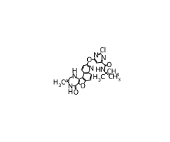 C[C@@H]1CNc2c(oc3ccc4nc(Oc5cc(C(=O)NC(C)(C)C)nc(Cl)n5)ccc4c23)C(=O)N1